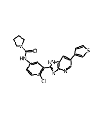 O=C(Nc1ccc(Cl)c(-c2nc3ncc(-c4ccsc4)cc3[nH]2)c1)N1CCCC1